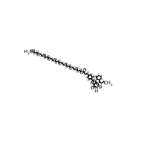 CCCC(C1CCCCC1)n1c(=O)[nH]c(=O)c2nc(-c3ccc(/C=C/C(=O)OCCOCCOCCOCCOCCOCCOCCOCCOCCOC)cc3)[nH]c21